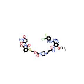 COc1cc2ncnc(Nc3ccc(F)c(Cl)c3)c2cc1NC(=O)/C=C/CN1CCN(C(=O)COCCSc2cccc3c2C(=O)N(C2CCC(=O)NC2=O)C3=O)CC1